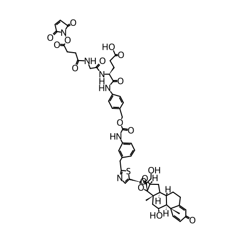 C[C@]12C=CC(=O)C=C1CC[C@@H]1[C@@H]2[C@@H](O)C[C@@]2(C)[C@H]1C[C@H]1O[C@H](c3cnc(Cc4cccc(NC(=O)OCc5ccc(NC(=O)[C@H](CCC(=O)O)NC(=O)CNC(=O)CCC(=O)ON6C(=O)C=CC6=O)cc5)c4)s3)O[C@]12C(=O)CO